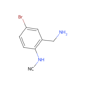 N#CNc1ccc(Br)cc1CN